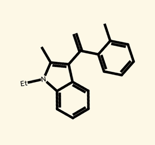 C=C(c1ccccc1C)c1c(C)n(CC)c2ccccc12